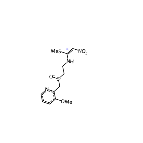 COc1cccnc1C[S+]([O-])CCN/C(=C\[N+](=O)[O-])SC